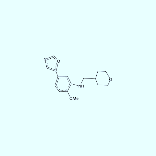 COc1ccc(-c2cnco2)cc1NCC1CCOCC1